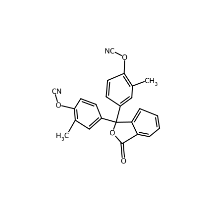 Cc1cc(C2(c3ccc(OC#N)c(C)c3)OC(=O)c3ccccc32)ccc1OC#N